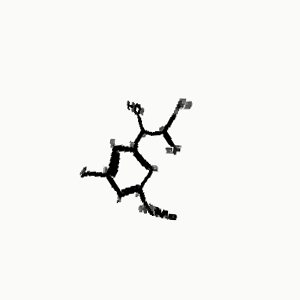 CNc1cc(C)cc(C(O)C(F)F)c1